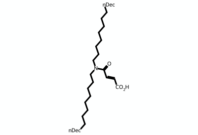 CCCCCCCCCCCCCCCCCCN(CCCCCCCCCCCCCCCCCC)C(=O)C=CC(=O)O